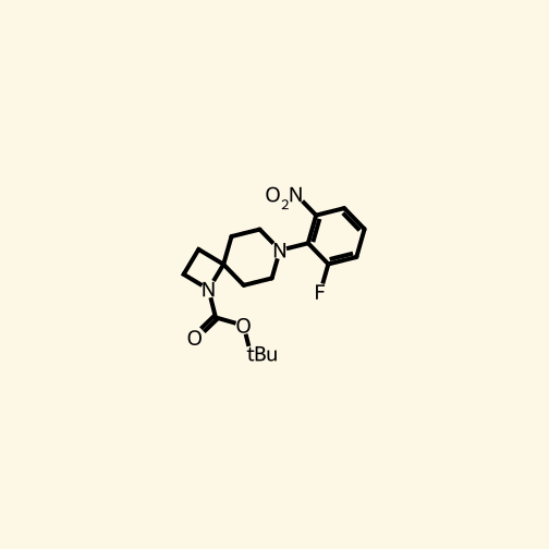 CC(C)(C)OC(=O)N1CCC12CCN(c1c(F)cccc1[N+](=O)[O-])CC2